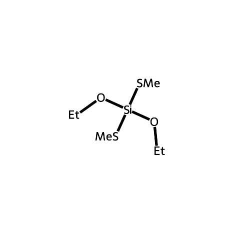 CCO[Si](OCC)(SC)SC